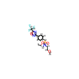 CCOP(=O)(Cc1ccc(-c2noc(C(F)(F)F)n2)cc1)N(C)CCOC